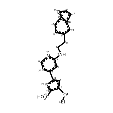 CCOc1cc(-c2cc(NCCc3ccc4occc4c3)ncn2)sc1C(=O)O